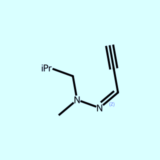 C#C/C=N\N(C)CC(C)C